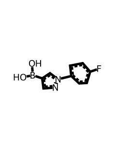 OB(O)c1cnn(-c2ccc(F)cc2)c1